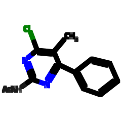 CC(=O)Nc1nc(Cl)c(C)c(-c2ccccc2)n1